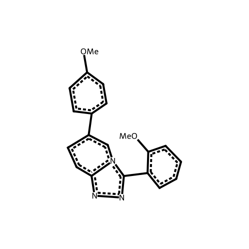 COc1ccc(-c2ccc3nnc(-c4ccccc4OC)n3c2)cc1